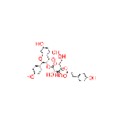 O=C(C=Cc1ccc(O)cc1)O[C@@H]1C(CO)O[C@@H](Oc2c(-c3ccc(O)cc3)oc3cc(O)cc(O)c3c2=O)C(O)[C@H]1O